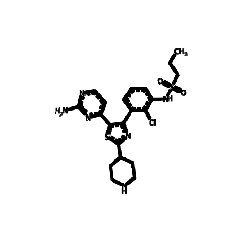 CCCS(=O)(=O)Nc1cccc(-c2nc(C3CCNCC3)sc2-c2ccnc(N)n2)c1Cl